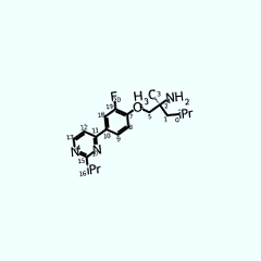 CC(C)C[C@](C)(N)COc1ccc(-c2ccnc(C(C)C)n2)cc1F